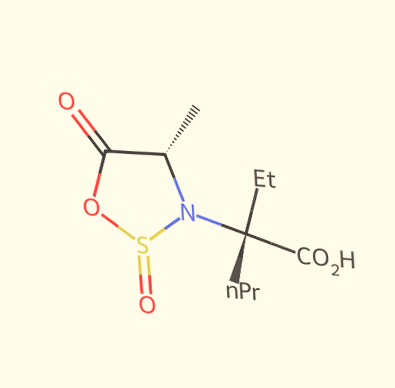 CCC[C@@](CC)(C(=O)O)N1[C@@H](C)C(=O)OS1=O